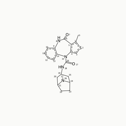 Cc1scc2c1C(=O)Nc1ccccc1N2C(=O)NC1CC2CCC(C1)N2C